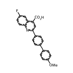 COc1ccc(-c2ccc(-c3cc(C(=O)O)c4cc(F)ccc4n3)cc2)cc1